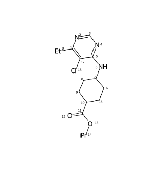 CCc1ncnc(NC2CCC(C(=O)OC(C)C)CC2)c1Cl